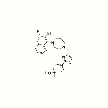 CCc1c(F)cc2cccnc2c1N1CCCN(Cc2csc(N3CCC(C)(O)CC3)n2)CC1